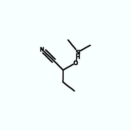 CCC(C#N)O[SiH](C)C